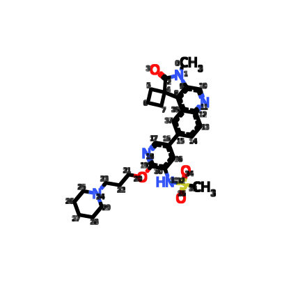 CN1C(=O)C2(CCC2)c2c1cnc1ccc(-c3cnc(OCCCN4CCCCC4)c(NS(C)(=O)=O)c3)cc21